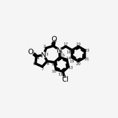 O=C1CN2C(=O)CCC2c2cc(Cl)ccc2N1Cc1ccccc1